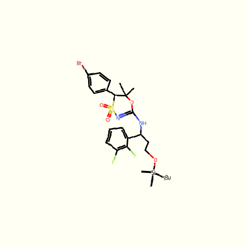 CC1(C)OC(NC(CCO[Si](C)(C)C(C)(C)C)c2cccc(F)c2F)=NS(=O)(=O)C1c1ccc(Br)cc1